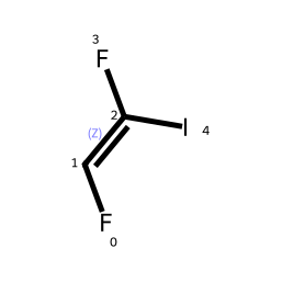 F/C=C(/F)I